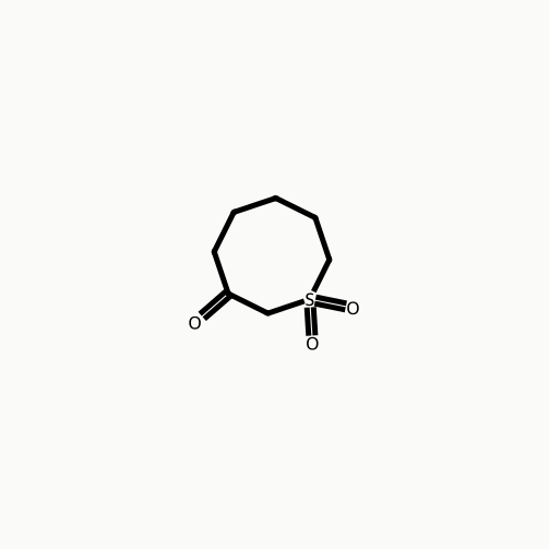 O=C1CCCCCS(=O)(=O)C1